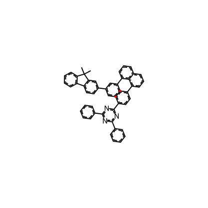 CC1(C)c2ccccc2-c2ccc(-c3cccc(-c4cccc5cccc(-c6ccc(-c7nc(-c8ccccc8)nc(-c8ccccc8)n7)cc6)c45)c3)cc21